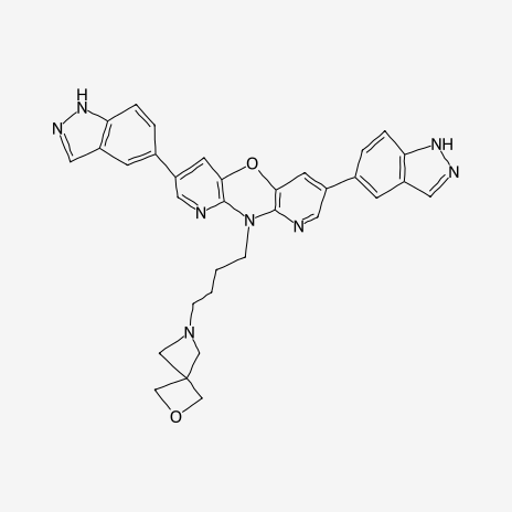 c1cc2[nH]ncc2cc1-c1cnc2c(c1)Oc1cc(-c3ccc4[nH]ncc4c3)cnc1N2CCCCN1CC2(COC2)C1